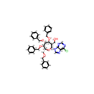 OC[C@@H]1[C@H](OCc2ccccc2)[C@@H](OCc2ccccc2)[C@H](OCc2ccccc2)[C@@H](COCc2ccccc2)O[C@H]1n1cnc2c(Cl)ncnc21